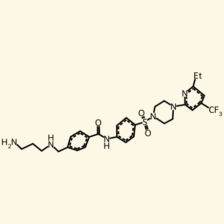 CCc1cc(C(F)(F)F)cc(N2CCN(S(=O)(=O)c3ccc(NC(=O)c4ccc(CNCCCN)cc4)cc3)CC2)n1